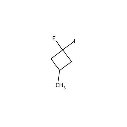 CC1CC(F)(I)C1